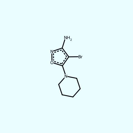 Nc1noc(N2CCCCC2)c1Br